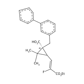 CCOC(=O)C(F)=CC1C(C)(C)[C@]1(Cc1cccc(-c2ccccc2)c1)C(=O)O